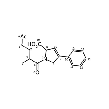 CC(=O)SCC(C)C(=O)N1CC(c2ccccc2)=CC1C(=O)O